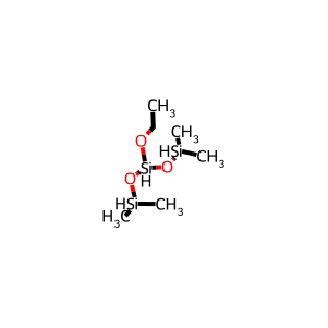 CCO[SiH](O[SiH](C)C)O[SiH](C)C